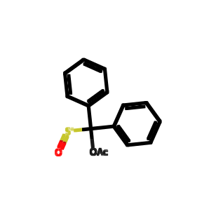 CC(=O)OC([S+]=O)(c1ccccc1)c1ccccc1